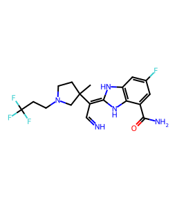 CC1(/C(C=N)=C2\Nc3cc(F)cc(C(N)=O)c3N2)CCN(CCC(F)(F)F)C1